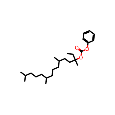 CCC(C)(CCC(C)CCCC(C)CCCC(C)C)OC(=O)Oc1ccccc1